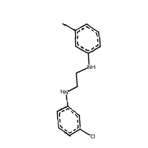 Cc1cccc(NCCNc2cccc(Cl)c2)c1